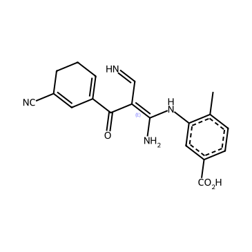 Cc1ccc(C(=O)O)cc1N/C(N)=C(\C=N)C(=O)C1=CCCC(C#N)=C1